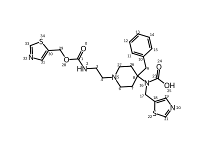 O=C(NCCN1CCC(Cc2ccccc2)(N(Cc2cncs2)C(=O)O)CC1)OCc1cncs1